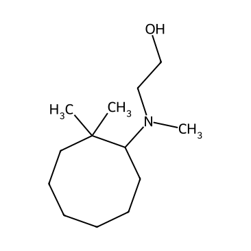 CN(CCO)C1CCCCCCC1(C)C